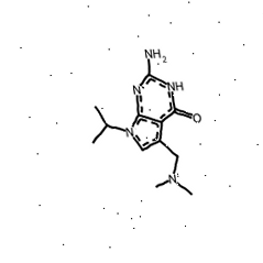 CC(C)n1cc(CN(C)C)c2c(=O)[nH]c(N)nc21